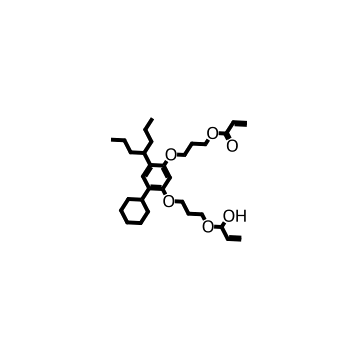 C=CC(=O)OCCCOc1cc(OCCCOC(O)C=C)c(C2CCCCC2)cc1C(CCC)CCC